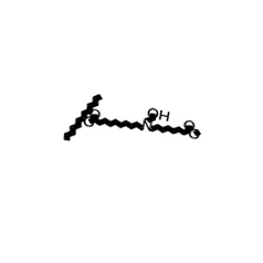 CCCCCCC(CCCCCC)OC(=O)CCCCCCCCCN(CCO)CCCCCCCC(=O)OC